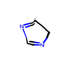 [C]1=NC=NC1